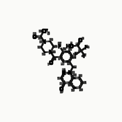 O=C(O)C(F)(F)F.O=C(c1cc(Cn2ncc(=O)c3ccccc32)ccc1F)N1CCN(C(=O)C(F)(F)F)CC1